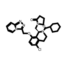 O=C1CCCN1C[C@@H]1c2c(OCc3nnc4ccccn34)ccc(Cl)c2CCN1C(=O)C1CCCCC1